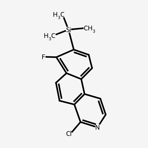 C[Si](C)(C)c1ccc2c(ccc3c(Cl)nccc32)c1F